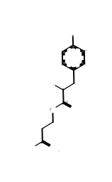 NC(Cc1ccc(O)cc1)C(=O)NCCC(=O)O